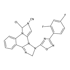 N#CN1C=C2N(c3ccccc3C3=NCN(c4nc(-c5ccc(F)cc5F)no4)N23)C1Cl